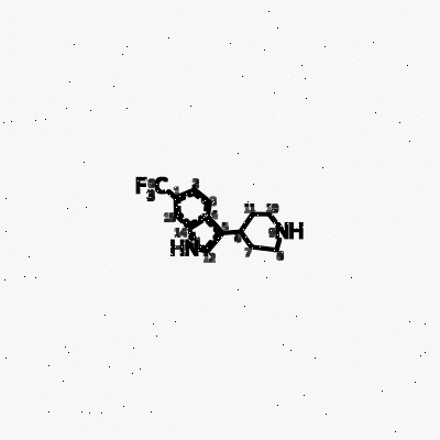 FC(F)(F)c1ccc2c(C3CCNCC3)c[nH]c2c1